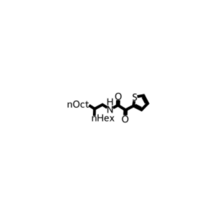 CCCCCCCCC(CCCCCC)CNC(=O)C(=O)c1cccs1